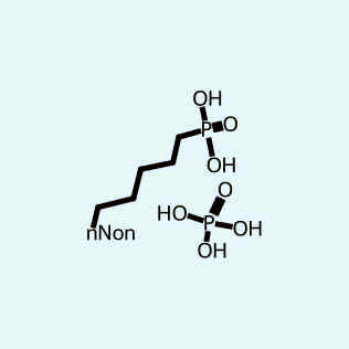 CCCCCCCCCCCCCCP(=O)(O)O.O=P(O)(O)O